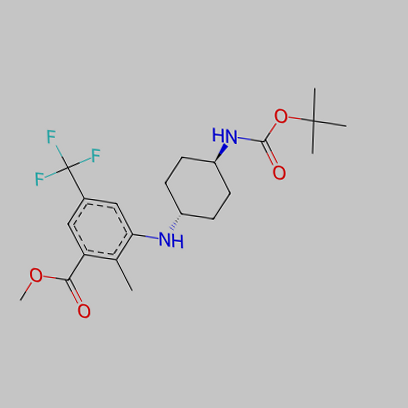 COC(=O)c1cc(C(F)(F)F)cc(N[C@H]2CC[C@H](NC(=O)OC(C)(C)C)CC2)c1C